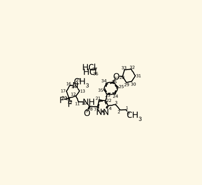 CCCCc1nnc(C(=O)NCC2CN(C)CCC2(F)F)cc1-c1ccc(OC2CCCCC2)cc1.Cl.Cl